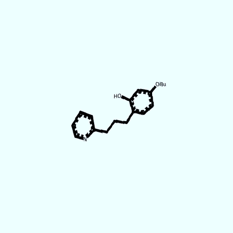 CC(C)COc1ccc(CCCc2ccccn2)c(O)c1